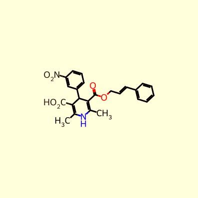 CC1=C(C(=O)O)C(c2cccc([N+](=O)[O-])c2)C(C(=O)OC/C=C/c2ccccc2)=C(C)N1